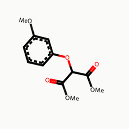 COC(=O)C(Oc1cccc(OC)c1)C(=O)OC